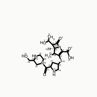 CC(O)C1C(=O)N2C(C(=O)O)=C(SC3CNC(C(=O)N4CCNC(CO)C4)C3)C(C)[C@@H]12